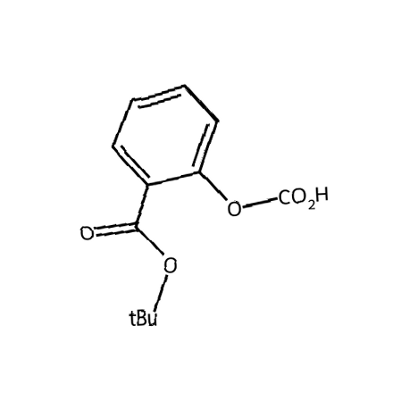 CC(C)(C)OC(=O)c1ccccc1OC(=O)O